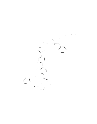 C=N/C=C(\NC1CCCN1C(=O)[C@H](NCCCC)c1ccccc1)c1ccc(-c2ccc(-c3cnc(CCCN(C)C(=O)[C@H](NCCCC)c4ccccc4)[nH]3)cc2)cc1